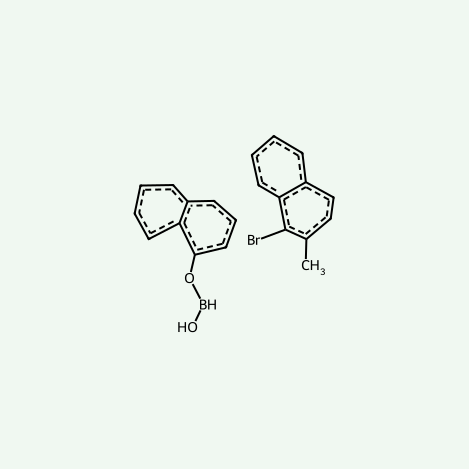 Cc1ccc2ccccc2c1Br.OBOc1cccc2ccccc12